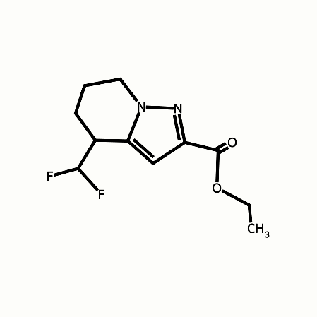 CCOC(=O)c1cc2n(n1)CCCC2C(F)F